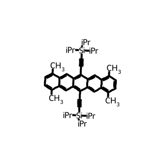 Cc1ccc(C)c2cc3c(C#C[Si](C(C)C)(C(C)C)C(C)C)c4cc5c(C)ccc(C)c5cc4c(C#C[Si](C(C)C)(C(C)C)C(C)C)c3cc12